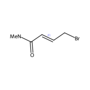 CNC(=O)/C=C/CBr